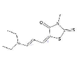 CCN(/C=C/C=C1/SC(=S)N(C)C1=O)CC